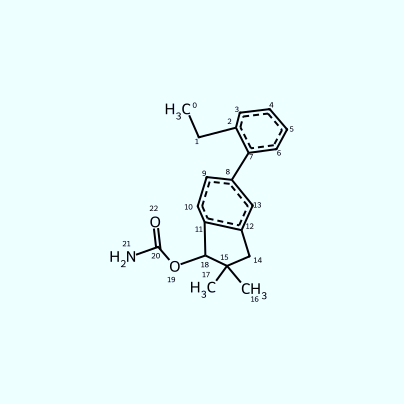 CCc1ccccc1-c1ccc2c(c1)CC(C)(C)C2OC(N)=O